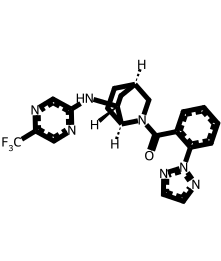 O=C(c1ccccc1-n1nccn1)N1C[C@@H]2CC[C@H]1[C@H](Nc1cnc(C(F)(F)F)cn1)C2